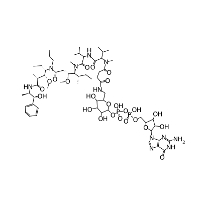 CCCN(C(=O)C[C@@H](OC)[C@H]([C@@H](C)CC)N(C)C(=O)C(NC(=O)C(C(C)C)N(C)C(=O)CCC(=O)NCC1OC(OP(=O)(O)OP(=O)(O)OCC2OC(n3cnc4c(=O)[nH]c(N)nc43)C(O)C2O)C(O)C(O)C1O)C(C)C)[C@@H](CC)[C@H](OC)[C@@H](C)C(=O)N[C@H](C)[C@@H](O)c1ccccc1